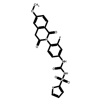 COc1ccc2c(c1)CC(=O)N(c1ccc(NC(=O)NS(=O)(=O)c3cccs3)cc1F)C2=O